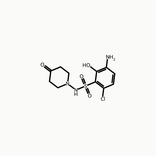 Nc1ccc(Cl)c(S(=O)(=O)NN2CCC(=O)CC2)c1O